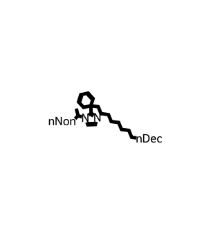 CCCCCCCCCCCCCCCCCCC1(c2nccn2C(C)CCCCCCCCC)C=CC=CC1